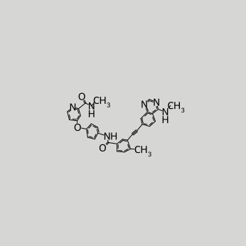 CNC(=O)c1cc(Oc2ccc(NC(=O)c3ccc(C)c(C#Cc4ccc5c(NC)ncnc5c4)c3)cc2)ccn1